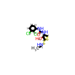 CCNSc1scc(NC(=O)Nc2cccc(Cl)c2Cl)c1O